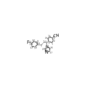 N#Cc1ccc(C(CCc2ccc(F)cc2)n2ccnc2)cc1